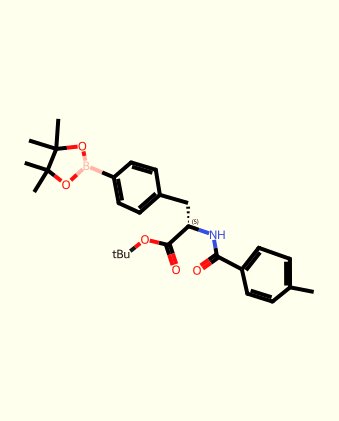 Cc1ccc(C(=O)N[C@@H](Cc2ccc(B3OC(C)(C)C(C)(C)O3)cc2)C(=O)OC(C)(C)C)cc1